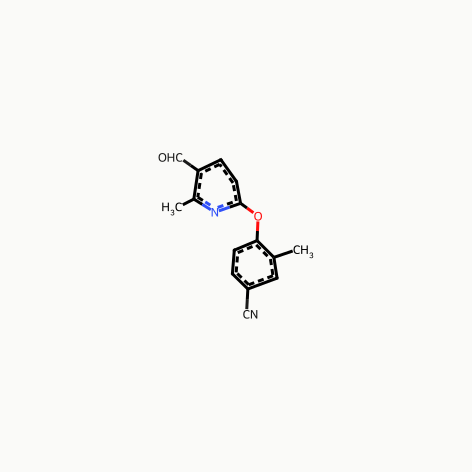 Cc1cc(C#N)ccc1Oc1ccc(C=O)c(C)n1